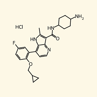 Cc1[nH]c2c(-c3cc(F)ccc3OCC3CC3)ccnc2c1C(=O)NC1CCC(N)CC1.Cl